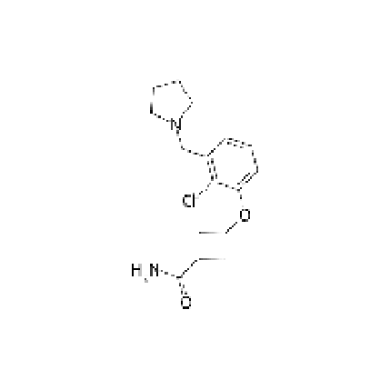 NC(=O)C1CC(Oc2cccc(CN3CCCC3)c2Cl)C1